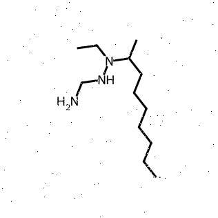 [CH2]CCCCCCC(C)N(CC)NCN